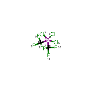 FC(F)(F)P(Cl)(Cl)(Cl)C(F)(F)F